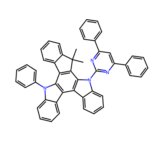 CC1(C)c2ccccc2-c2c1c1c(c3ccccc3n1-c1nc(-c3ccccc3)cc(-c3ccccc3)n1)c1c3ccccc3n(-c3ccccc3)c21